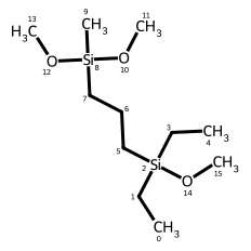 CC[Si](CC)(CCC[Si](C)(OC)OC)OC